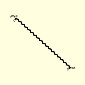 O=C(O)CCCCCCCCCCCCCCCCCCCCCCCCCCCCCCCCCCCC(=O)NO